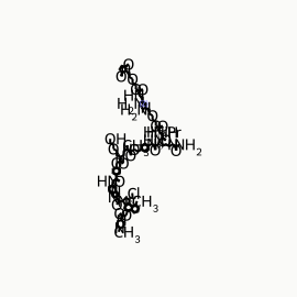 Cc1cccc2c(OC(=O)N3CCN(C)CC3)cc3c(c12)[C@H](CCl)CN3C(=O)c1cn2cc(NC(=O)c3ccc(OC(=O)N(CCOCCO)CCN(C)C(=O)OCc4ccc(NC(=O)[C@H](CCCNC(N)=O)NC(=O)[C@@H](NC(=O)OCCOCCN(N)/C=C(\N)CNC(=O)OCCOCCN5C(=O)C=CC5=O)C(C)C)cc4)cc3)ccc2n1